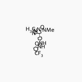 CNC(=O)c1cc(-c2ccc(NC(=O)Nc3cccc(C(F)(F)F)c3)cc2)c2cnn(C)c2n1